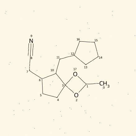 CC1OC2(CCC(CC#N)C2CC2CCCC2)O1